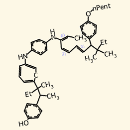 C\C=C(/C=C\C=C\C(c1ccc(OCCCCC)cc1)C(C)(C)CC)Nc1ccc(NC2=CCC(C(C)(CC)C(C)c3ccc(O)cc3)=CC=C2)cc1